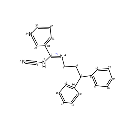 N#CN/C(=N\CCC(c1ccccc1)c1ccccc1)c1cccnc1